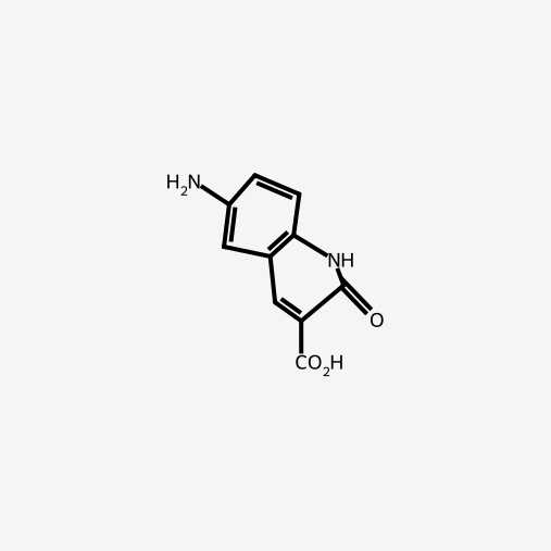 Nc1ccc2[nH]c(=O)c(C(=O)O)cc2c1